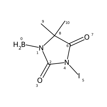 BN1C(=O)N(I)C(=O)C1(C)C